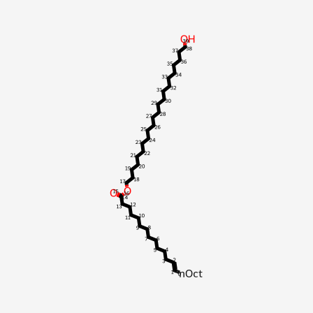 CCCCCCCCC=CCCCCCCCCCCCC(=O)OCCCCCCCCCCCCCCCCCCCCCCO